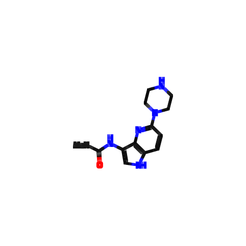 CNC(=O)Nc1c[nH]c2ccc(N3CCNCC3)nc12